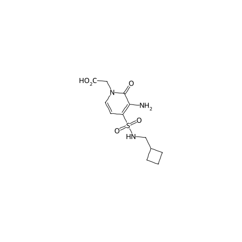 Nc1c(S(=O)(=O)NCC2CCC2)ccn(CC(=O)O)c1=O